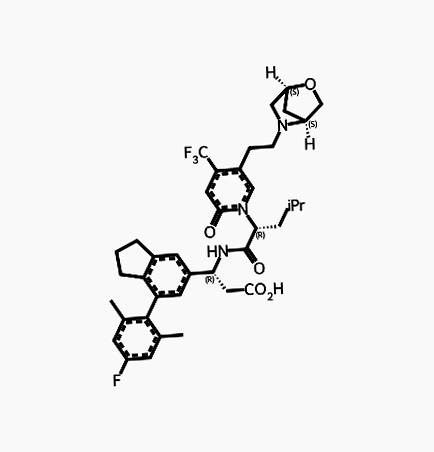 Cc1cc(F)cc(C)c1-c1cc([C@@H](CC(=O)O)NC(=O)[C@@H](CC(C)C)n2cc(CCN3C[C@@H]4C[C@H]3CO4)c(C(F)(F)F)cc2=O)cc2c1CCC2